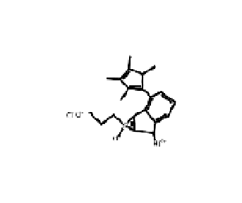 CCC[Si]1(Cl)C2=C1[CH]([Hf+2])c1cccc(C3=C(C)C(C)=C(C)C3C)c12.[Cl-].[Cl-]